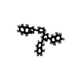 c1cc(-c2cc(-c3ccc4ccccc4c3)nc(-c3ccc4ccccc4c3)c2)cc(-c2cc3cc4ccccc4cn3n2)c1